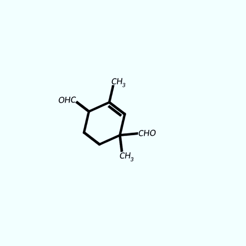 CC1=CC(C)(C=O)CCC1C=O